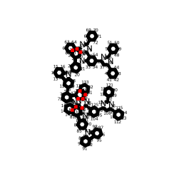 C1=Cc2c(c3c(-c4ccc5c(c4)c4ccccc4n5-c4ccc5c(c4)c4ccccc4n5-c4ccc(-c5cc(-c6ccccc6)nc(-c6ccccc6)n5)cc4-c4nc(-c5ccccc5)nc(-c5ccccc5)n4)cccc3n2-c2ccc3c4ccc(-n5c6ccccc6c6ccccc65)cc4n(-c4ccc(-c5cc(-c6ccccc6)nc(-c6ccccc6)n5)cc4-c4nc(-c5ccccc5)nc(-c5ccccc5)n4)c3c2)CC1